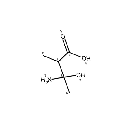 CC(C(=O)O)C(C)(N)O